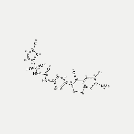 CNc1cc2c(cc1F)C(=O)N(c1ccc(NC(=O)NS(=O)(=O)c3ccc(Cl)s3)cc1)CC2